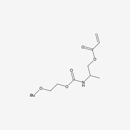 C=CC(=O)OCC(C)NC(=O)OCCOC(C)CC